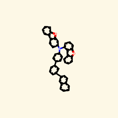 c1cc(-c2ccc(N(c3ccc4c(c3)oc3ccccc34)c3cccc4oc5ccccc5c34)cc2)cc(-c2ccc3ccccc3c2)c1